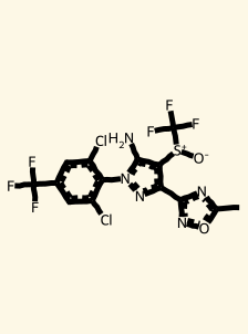 Cc1nc(-c2nn(-c3c(Cl)cc(C(F)(F)F)cc3Cl)c(N)c2[S+]([O-])C(F)(F)F)no1